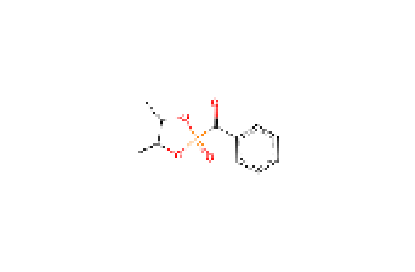 CC1OP(=O)(C(=O)c2ccccc2)OC1C